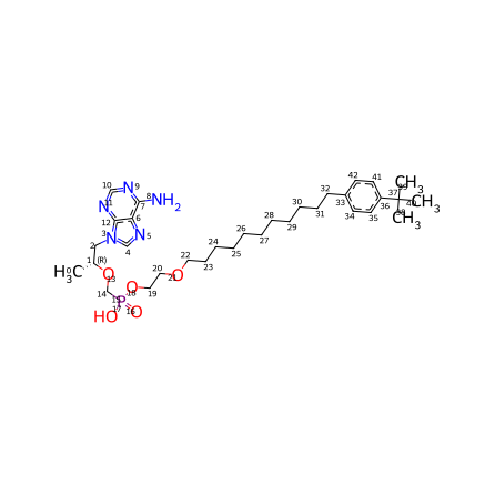 C[C@H](Cn1cnc2c(N)ncnc21)OCP(=O)(O)OCCOCCCCCCCCCCCc1ccc(C(C)(C)C)cc1